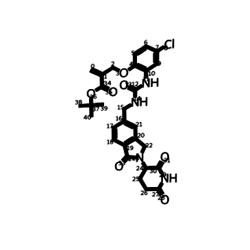 C=C(COc1ccc(Cl)cc1NC(=O)NCc1ccc2c(c1)CN(C1CCC(=O)NC1=O)C2=O)C(=O)OC(C)(C)C